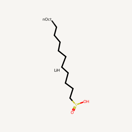 CCCCCCCCCCCCCCCCCCS(=O)O.[LiH]